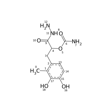 Cc1c(CC(OC(N)=O)C(=O)NN)ccc(O)c1O